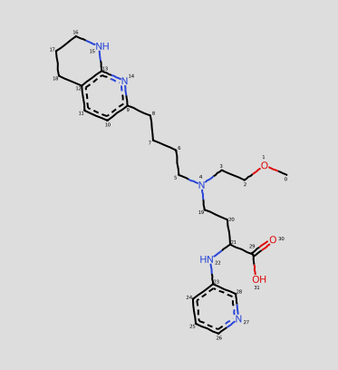 COCCN(CCCCc1ccc2c(n1)NCCC2)CCC(Nc1cccnc1)C(=O)O